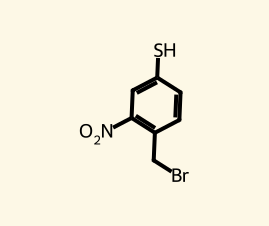 O=[N+]([O-])c1cc(S)ccc1CBr